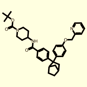 CC(C)(C)OC(=O)N1CCC(NC(=O)c2ccc(C3(c4ccc(OCc5ccccn5)cc4)CC4CCC3C4)cc2)CC1